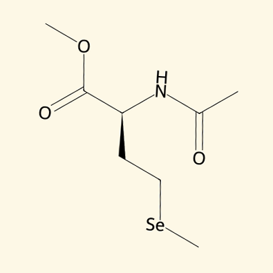 COC(=O)[C@H](CC[Se]C)NC(C)=O